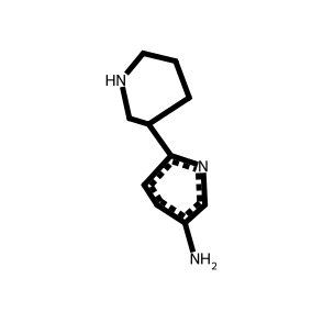 Nc1ccc(C2CCCNC2)nc1